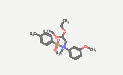 CCOC(C[N+](C)(c1cccc(OC)c1)S(=O)(=O)c1ccc(C)cc1)OCC